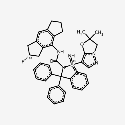 CC1(C)Cn2ncc([S@@](=N)(=O)N(C(=O)Nc3c4c(cc5c3C[C@H](F)C5)CCC4)C(c3ccccc3)(c3ccccc3)c3ccccc3)c2O1